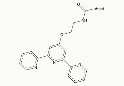 CCCCCCCC(=O)NCCOc1cc(-c2ccccn2)nc(-c2ccccn2)c1